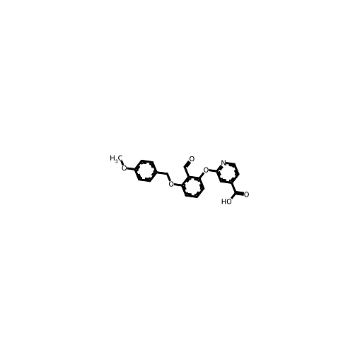 COc1ccc(COc2cccc(Oc3cc(C(=O)O)ccn3)c2C=O)cc1